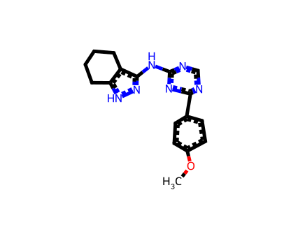 COc1ccc(-c2ncnc(Nc3n[nH]c4c3CCCC4)n2)cc1